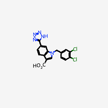 O=C(O)c1cn(Cc2ccc(Cl)c(Cl)c2)c2cc(-c3nnn[nH]3)ccc12